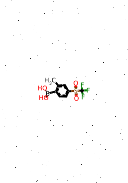 Cc1cc(S(=O)(=O)C(F)(F)F)ccc1B(O)O